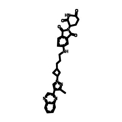 Cc1nn(C2CC(CCCNc3ccc4c(c3)C(=O)N(C3CCC(=O)NC3=O)C4=O)C2)cc1-c1cnc2ccccc2n1